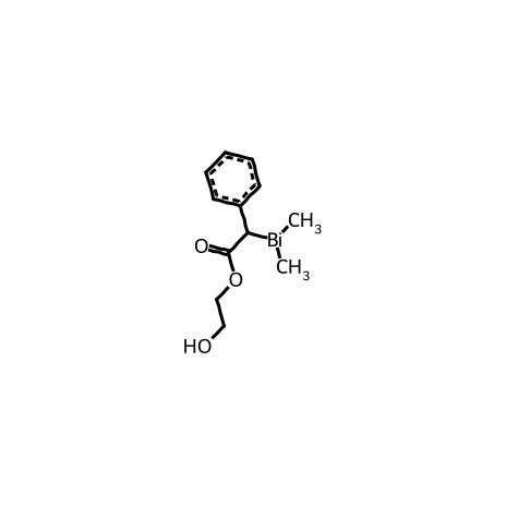 [CH3][Bi]([CH3])[CH](C(=O)OCCO)c1ccccc1